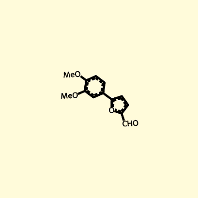 COc1ccc(-c2ccc(C=O)o2)cc1OC